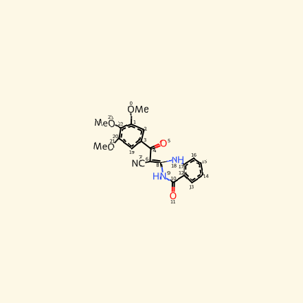 COc1cc(C(=O)/C(C#N)=C2/NC(=O)c3ccccc3N2)cc(OC)c1OC